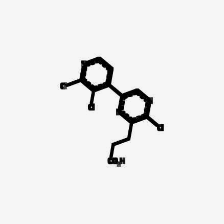 O=C(O)CCc1nc(-c2ccnc(Cl)c2Cl)cnc1Cl